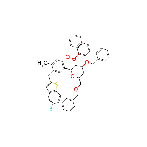 Cc1cc(OCc2ccccc2)c([C@@H]2O[C@H](COCc3ccccc3)C[C@H](OCc3ccccc3)[C@H]2OCc2ccccc2)cc1Cc1cc2cc(F)ccc2s1